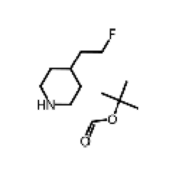 CC(C)(C)OC=O.FCCC1CCNCC1